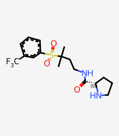 CC(C)(CCNC(=O)[C@@H]1CCCN1)S(=O)(=O)c1cccc(C(F)(F)F)c1